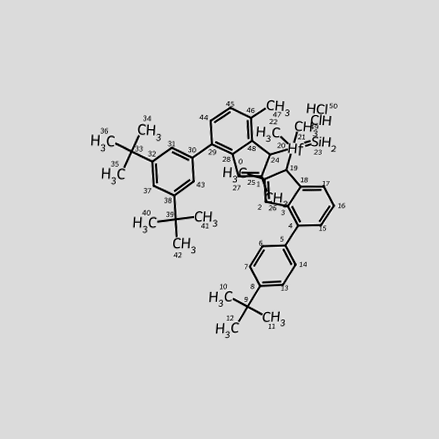 CC1=Cc2c(-c3ccc(C(C)(C)C)cc3)cccc2[CH]1[Hf]([CH3])([CH3])(=[SiH2])[CH]1C(C)=Cc2c(-c3cc(C(C)(C)C)cc(C(C)(C)C)c3)ccc(C)c21.Cl.Cl